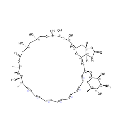 C[C@@H]1[C@H](O)[C@@H](C)/C=C/C=C/C=C/C=C/C=C/C=C/C=C/[C@H](O[C@@H]2O[C@H](C)[C@@H](O)[C@H](N)[C@@H]2O)C[C@@H]2O[C@](O)(C[C@@H](O)C[C@@H](O)[C@H](O)CC[C@@H](O)C[C@@H](O)CC(=O)O[C@H]1C)C[C@@H]1OC(=O)N[C@H]12